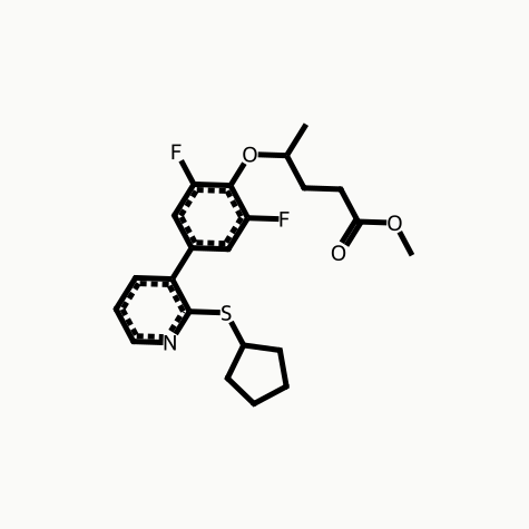 COC(=O)CCC(C)Oc1c(F)cc(-c2cccnc2SC2CCCC2)cc1F